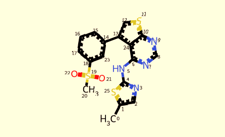 Cc1cnc(Nc2ncnc3scc(-c4cccc(S(C)(=O)=O)c4)c23)s1